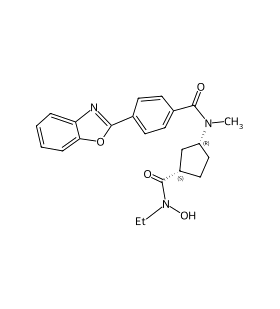 CCN(O)C(=O)[C@H]1CC[C@@H](N(C)C(=O)c2ccc(-c3nc4ccccc4o3)cc2)C1